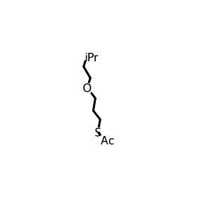 CC(=O)SCCCOCCC(C)C